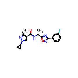 Cc1nn(C2CC2)cc1C(=O)N[C@@H](C)c1nc(-c2cccc(F)c2)no1